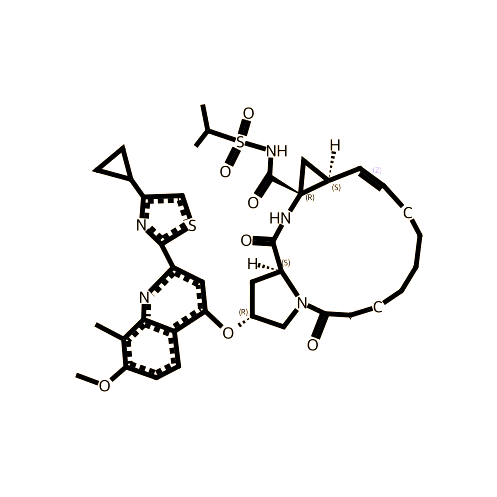 COc1ccc2c(O[C@@H]3C[C@H]4C(=O)N[C@]5(C(=O)NS(=O)(=O)C(C)C)C[C@H]5/C=C\CCCCC[CH]C(=O)N4C3)cc(-c3nc(C4CC4)cs3)nc2c1C